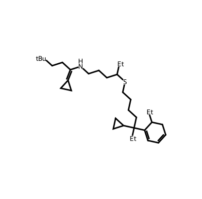 CCC(CCCNC(CCC(C)(C)C)=C1CC1)SCCCCC(CC)(C1=CC=CCC1CC)C1CC1